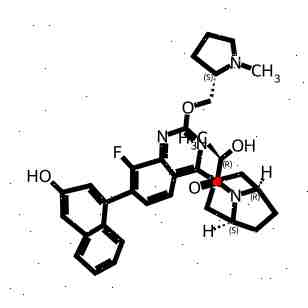 C[C@@H](O)C(=O)N1[C@@H]2CC[C@H]1CN(c1nc(OC[C@@H]3CCCN3C)nc3c(F)c(-c4cc(O)cc5ccccc45)ccc13)C2